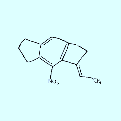 N#CC=C1CCc2cc3c(c([N+](=O)[O-])c21)CCC3